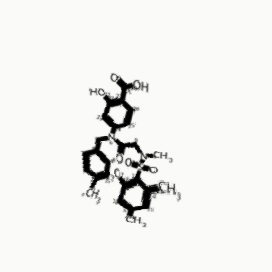 Cc1ccc(CN(C(=O)CN(C)S(=O)(=O)c2c(C)cc(C)cc2C)c2ccc(C(=O)O)c(O)c2)cc1